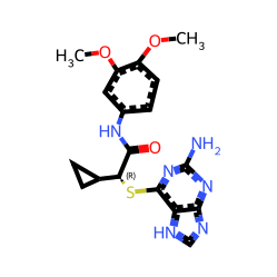 COc1ccc(NC(=O)[C@H](Sc2nc(N)nc3nc[nH]c23)C2CC2)cc1OC